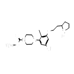 Cc1c(OCCC2CCCN2)cc(Cl)cc1N1CCN(C(=O)OC(C)(C)C)CC1